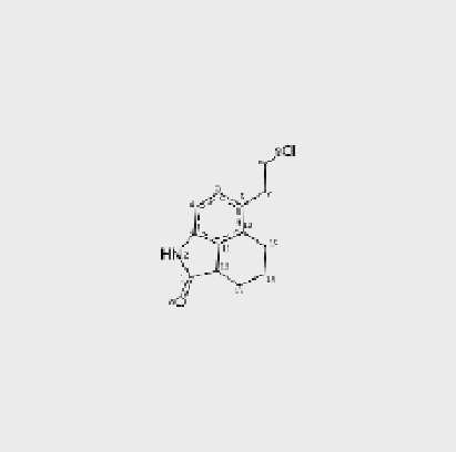 O=C1Nc2ccc(CCCl)c3c2C1CCC3